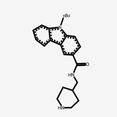 CCCCn1c2ccccc2c2cc(C(=O)NCC3CCNCC3)ccc21